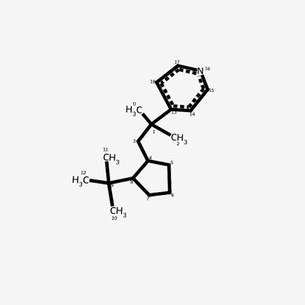 CC(C)(CC1CCCC1C(C)(C)C)c1ccncc1